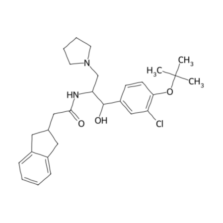 CC(C)(C)Oc1ccc(C(O)C(CN2CCCC2)NC(=O)CC2Cc3ccccc3C2)cc1Cl